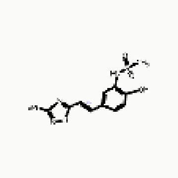 CCCc1noc(/C=C/c2ccc(O)c(NS(C)(=O)=O)c2)n1